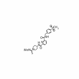 CNC(=S)N1CCC(NC(=O)c2cccc(C(=O)NCc3ccc(S(C)(=O)=O)cc3)n2)CC1